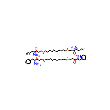 CC(C)C[C@H](N)C(=O)CCSCCCCCCCCCCSCCC(=O)[C@@H](N)CC(C)C.N[C@@H](Cc1ccccc1)C(=O)CCSCCCCCCCCCCSCCC(=O)[C@@H](N)Cc1ccccc1